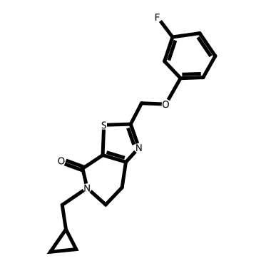 O=C1c2sc(COc3cccc(F)c3)nc2CCN1CC1CC1